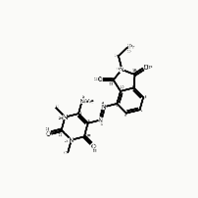 CNc1c(N=Nc2cccc3c2C(=O)N(CC(C)C)C3=O)c(=O)n(C)c(=O)n1C